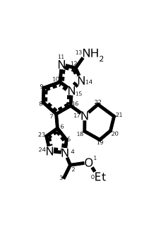 CCOC(C)n1cc(-c2ccc3nc(N)nn3c2N2CCCCC2)cn1